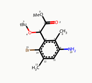 COC(=O)C(OC(C)(C)C)c1c(C)c(N)cc(C)c1Br